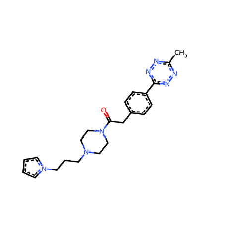 Cc1nnc(-c2ccc(CC(=O)N3CCN(CCCn4cccc4)CC3)cc2)nn1